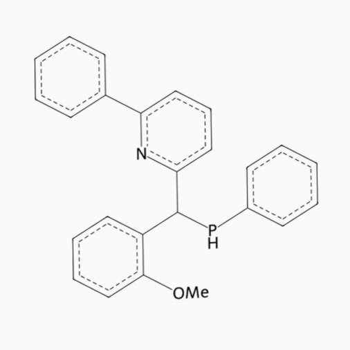 COc1ccccc1C(Pc1ccccc1)c1cccc(-c2ccccc2)n1